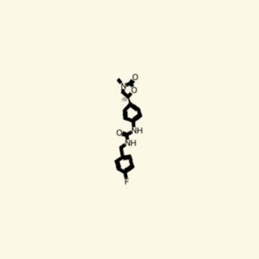 CN1C[C@H](c2ccc(NC(=O)NCc3ccc(F)cc3)cc2)OC1=O